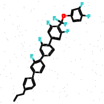 CCCc1ccc(-c2ccc(-c3ccc(-c4cc(F)c(C(F)(F)Oc5ccc(F)c(F)c5)c(F)c4)c(F)c3)c(F)c2)cc1